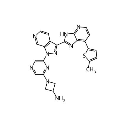 Cc1ccc(-c2ccnc3[nH]c(-c4nn(-c5cncc(N6CC(N)C6)n5)c5cnccc45)nc23)s1